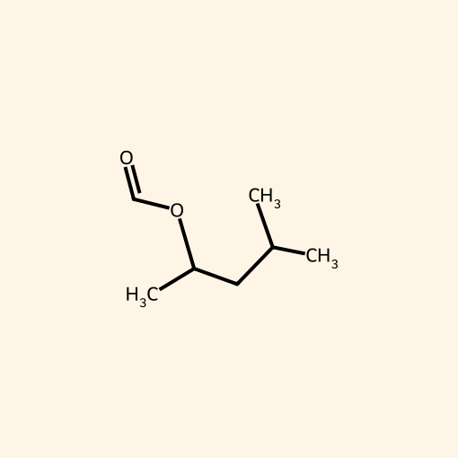 CC(C)CC(C)OC=O